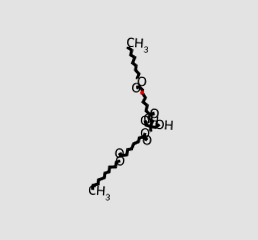 CCCCCCCCCCOC(=O)CCCCCCC(=O)OCC(CO)(CO)COC(=O)CCCCCCC(=O)OCCCCCCCCCC